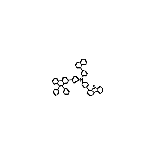 c1ccc(-c2c(-c3ccccc3)c3cc(-c4ccc(N(c5ccc(-c6cccc7c6sc6ccccc67)cc5)c5cccc(-c6cccc7ccccc67)c5)cc4)ccc3c3ccccc23)cc1